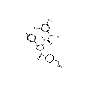 CN(C(=O)N(C)[C@@H]1CN(C(=O)[C@H]2CC[C@H](CN)CC2)C[C@H]1c1ccc(F)cc1)c1cc(C(F)(F)F)cc(C(F)(F)F)c1.Cl